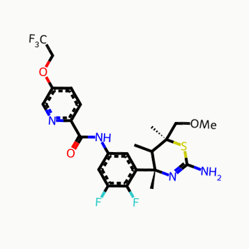 COC[C@@]1(C)SC(N)=N[C@](C)(c2cc(NC(=O)c3ccc(OCC(F)(F)F)cn3)cc(F)c2F)C1C